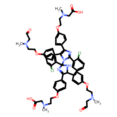 CN(CC=O)CCOc1ccc(-c2c(-c3ccc(OCCN(C)CC(=O)O)cc3)nc(-c3ccccc3Cl)n2C2(c3ccccc3Cl)N=C(c3ccc(OCCN(C)CC(=O)O)cc3)C(c3ccc(OCCN(C)CC=O)cc3)N2)cc1